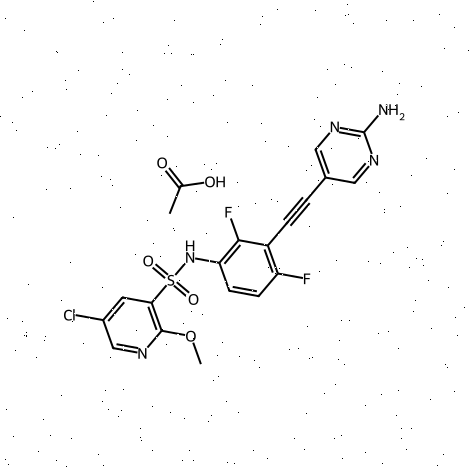 CC(=O)O.COc1ncc(Cl)cc1S(=O)(=O)Nc1ccc(F)c(C#Cc2cnc(N)nc2)c1F